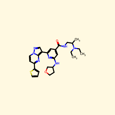 CCN(CC)C(C)CNC(=O)c1cc(NC2CCOC2)nc(-c2cnn3ccc(-c4cccs4)nc23)c1